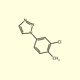 Cc1ccc(-n2ccnn2)cc1Cl